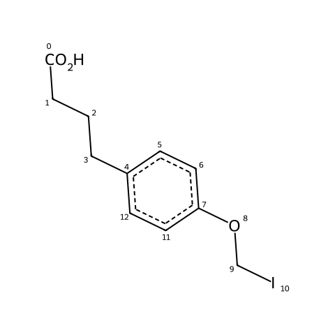 O=C(O)CCCc1ccc(OCI)cc1